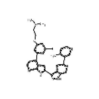 Cc1ccncc1-c1cc2c(-c3cc4c(-c5cc(F)cc(OCCN(C)C)c5)ccnc4[nH]3)n[nH]c2cn1